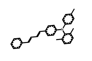 Cc1ccc(N(c2ccc(/C=C/C=C/c3ccccc3)cc2)c2c(C)cccc2C)cc1